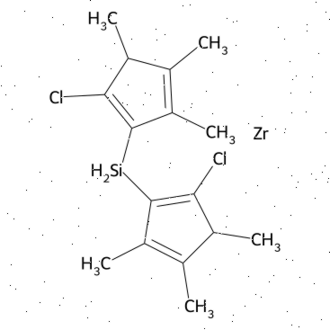 CC1=C(C)C(C)C(Cl)=C1[SiH2]C1=C(Cl)C(C)C(C)=C1C.[Zr]